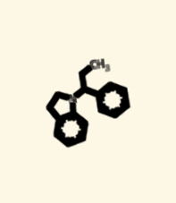 CCC(c1ccccc1)N1CCc2ccccc21